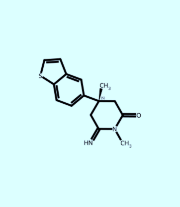 CN1C(=N)C[C@](C)(c2ccc3sccc3c2)CC1=O